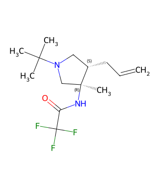 C=CC[C@H]1CN(C(C)(C)C)C[C@]1(C)NC(=O)C(F)(F)F